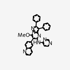 COc1c(-c2ccc3ncccc3c2)c(Nc2ccncn2)nc2c(-c3ccccc3)c(-c3ccccc3)nn12